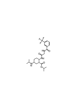 CC(C)NC1CCC(NC(=O)CNC(=O)c2cccc(C(F)(F)F)c2)C(C(=O)OC(C)C)C1